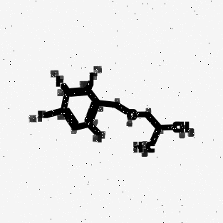 CC(C)COCc1c(F)cc(F)c(F)c1F